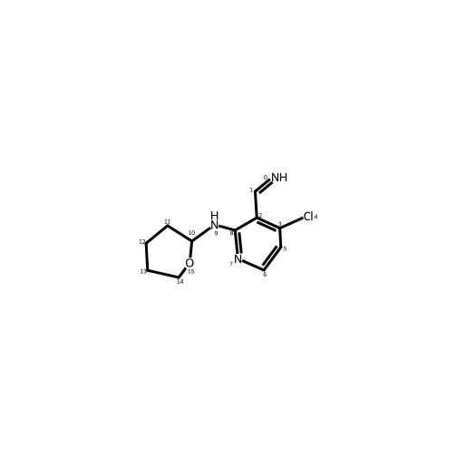 N=Cc1c(Cl)ccnc1NC1CCCCO1